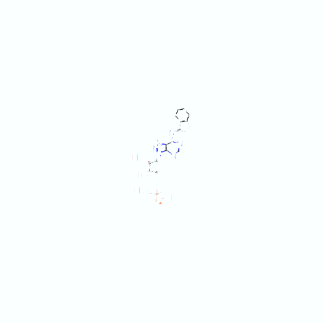 CC(CO)(OC[C@H]1O[C@H](n2nnc3c(N[C@@H]4CCc5ccccc54)nc(Cl)nc32)[C@H](O)[C@@H]1O)P(=O)(O)O